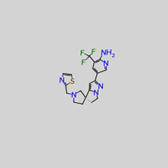 Nc1ncc(-c2cc3n(n2)CC[C@@]32CCN(Cc3nccs3)C2)cc1C(F)(F)F